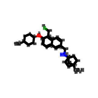 CC(C)(C)[C@H]1CC[C@H](Oc2ccc3cc(CNC45CCC(C(=O)O)(CC4)C5)ccc3c2CF)CC1